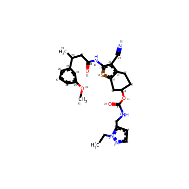 CCn1nccc1CNC(=O)OC1CCc2c(sc(NC(=O)CC(C)c3cccc(OC)c3)c2C#N)C1